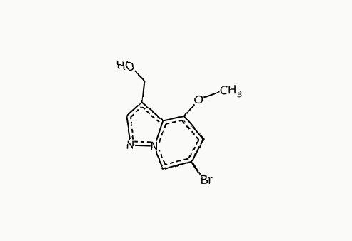 COc1cc(Br)cn2ncc(CO)c12